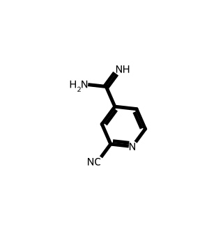 N#Cc1cc(C(=N)N)ccn1